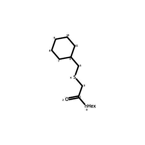 CCCCCCC(=O)CSCC1CCCCC1